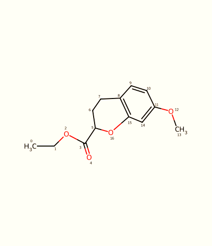 CCOC(=O)C1CCc2ccc(OC)cc2O1